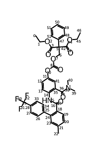 CCOC(=O)C(COC(=O)Oc1ccc(NC(=O)c2ccc(C)cc2-c2ccc(C(F)(F)F)cc2)c(C(=O)N(C)C)c1)(C(=O)OCC)c1ccccc1